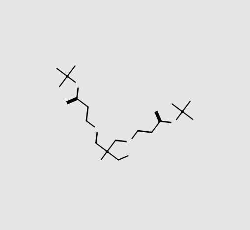 CC(C)(C)OC(=O)CCOCC(O)(CO)COCCC(=O)OC(C)(C)C